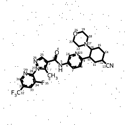 Cc1c(C(=O)Nc2ccc(C3CC(C#N)CCC3N3CCOCC3)nc2)cnn1-c1ncc(C(F)(F)F)cc1F